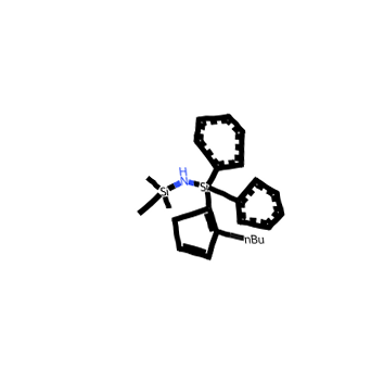 CCCCC1=C([Si](N[Si](C)(C)C)(c2ccccc2)c2ccccc2)CC=C1